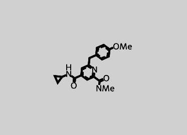 CNC(=O)c1cc(C(=O)NC2CC2)cc(Cc2ccc(OC)cc2)n1